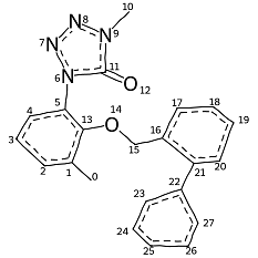 Cc1cccc(-n2nnn(C)c2=O)c1OCc1ccccc1-c1ccccc1